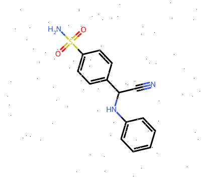 N#CC(Nc1cc[c]cc1)c1ccc(S(N)(=O)=O)cc1